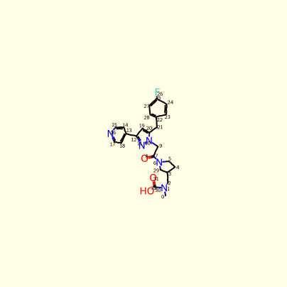 CN(CC1CCN(C(=O)Cn2nc(-c3ccncc3)cc2Cc2ccc(F)cc2)C1)C(=O)O